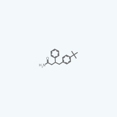 CC(C)(C)c1ccc(CC(CC(N)=O)c2ccccc2)cc1